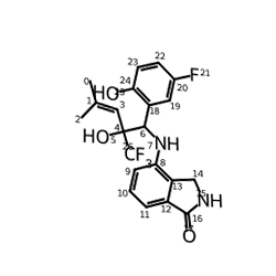 CC(C)=CC(O)(C(Nc1cccc2c1CNC2=O)c1cc(F)ccc1O)C(F)(F)F